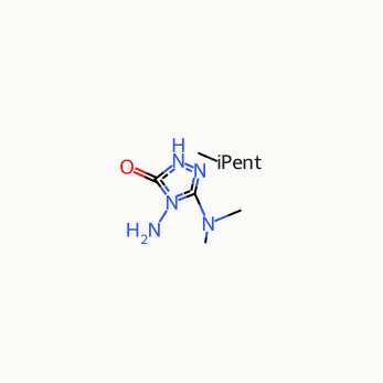 CCCC(C)C.CN(C)c1n[nH]c(=O)n1N